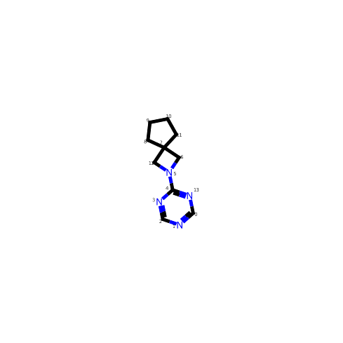 c1ncnc(N2CC3(CCCC3)C2)n1